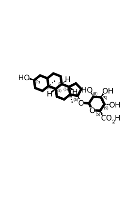 C[C@]12CC[C@H]3[C@@H](CCC4C[C@H](O)CC[C@@]43C)[C@@H]1CC[C@@H]2OC1O[C@H](C(=O)O)[C@@H](O)[C@H](O)[C@H]1O